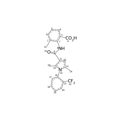 Cc1cccc(C(=O)O)c1NC(=O)c1cc(C)n(-c2ccccc2C(F)(F)F)c1C